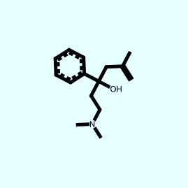 C=C(C)CC(O)(CCN(C)C)c1ccccc1